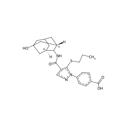 CCCSc1c(C(=O)NC2[C@@H]3CC4C[C@H]2CC(O)(C4)C3)cnn1-c1ccc(C(=O)O)cc1